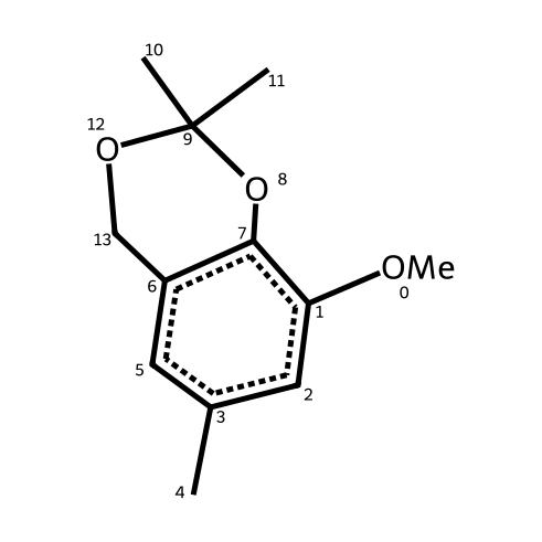 COc1cc(C)cc2c1OC(C)(C)OC2